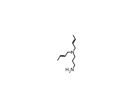 CC=CCN(CC=CC)CCCN